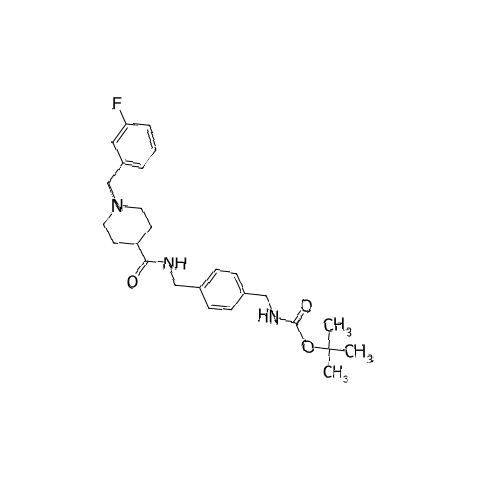 CC(C)(C)OC(=O)NCc1ccc(CNC(=O)C2CCN(Cc3cccc(F)c3)CC2)cc1